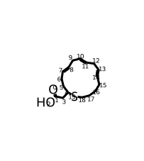 O=C(O)CC1CC/C=C/C/C=C/C/C=C/CCCCS1